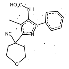 Cc1c(C2(C#N)CCOCC2)nn(-c2ccccc2)c1NC(=O)O